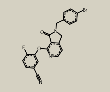 N#Cc1ccc(F)c(Oc2nccc3c2C(=O)N(Cc2ccc(Br)cc2)C3)c1